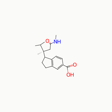 CNC(=O)C[C@](C)(C(C)C)C1CCc2cc(C(=O)O)ccc21